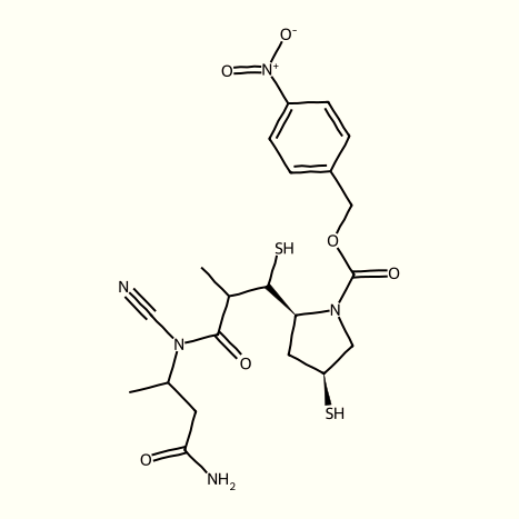 CC(C(=O)N(C#N)C(C)CC(N)=O)C(S)[C@@H]1C[C@H](S)CN1C(=O)OCc1ccc([N+](=O)[O-])cc1